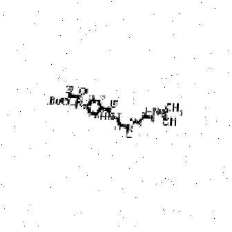 CB(O)NCCCSC(=O)CCNC(=O)c1ccc(NC(=O)C(=O)OC(C)(C)C)cc1